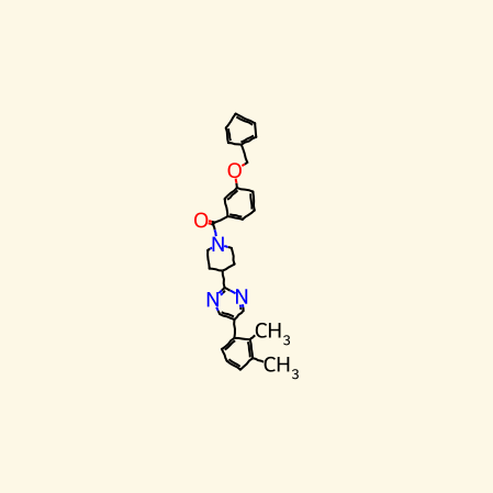 Cc1cccc(-c2cnc(C3CCN(C(=O)c4cccc(OCc5ccccc5)c4)CC3)nc2)c1C